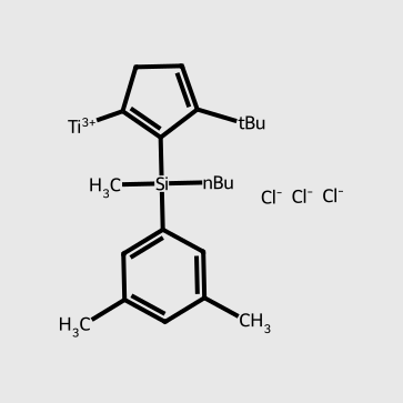 CCCC[Si](C)(C1=[C]([Ti+3])CC=C1C(C)(C)C)c1cc(C)cc(C)c1.[Cl-].[Cl-].[Cl-]